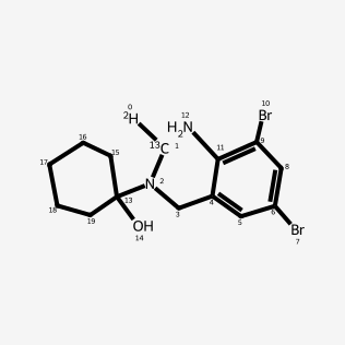 [2H][13CH2]N(Cc1cc(Br)cc(Br)c1N)C1(O)CCCCC1